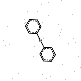 c1cc[c]([Ni][c]2ccccc2)cc1